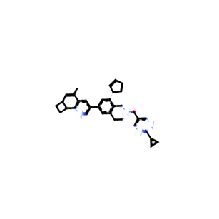 CC1=CC2CCC2c2ncc(-c3cc4c(c([C@H]5C=CCC5)c3)CN(C(=O)c3cnc(C5CC5)nc3)CC4)cc21